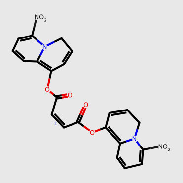 O=C(/C=C\C(=O)OC1=C2C=CC=C([N+](=O)[O-])N2CC=C1)OC1=C2C=CC=C([N+](=O)[O-])N2CC=C1